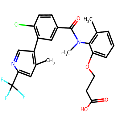 Cc1cc(C(F)(F)F)ncc1-c1cc(C(=O)N(C)c2c(C)cccc2OCCC(=O)O)ccc1Cl